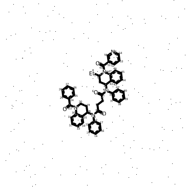 CCC1CC(N(C(=O)CCC(=O)N(c2ccccc2)C2CCN(C(=O)c3ccccc3)c3ccccc32)c2ccccc2)c2ccccc2N1C(=O)c1cccnc1